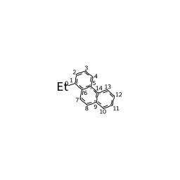 [CH2]Cc1cccc2c1ccc1ccccc12